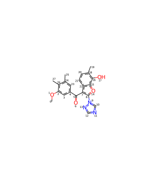 COc1cc(C(=O)c2c(-n3cncn3)oc3c(O)c(C)ccc23)cc(C)c1C